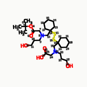 CC(C)(C)OC(=O)CN(CCCO)CC1(SSC2(CN(CCCO)CC(=O)O)CCCCC2)CCCCC1